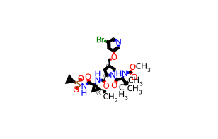 C=C[C@H]1C[C@]1(NC(=O)[C@@H]1C[C@@H](COc2cncc(Br)c2)CN1C(=O)[C@@H](NC(=O)OC)C(C)(C)C)C(=O)NS(=O)(=O)C1CC1